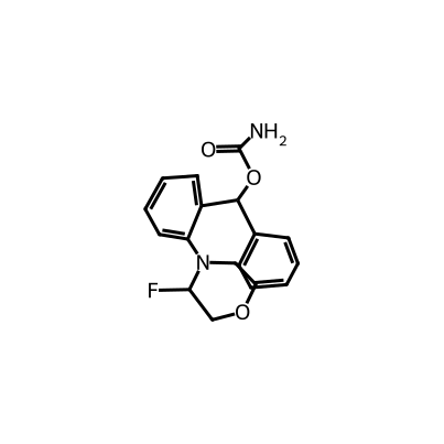 NC(=O)OC(c1ccccc1)c1ccccc1N1CCOCC1F